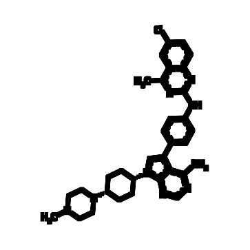 Cc1nc(Nc2ccc(-c3cn([C@H]4CC[C@@H](N5CCN(C)CC5)CC4)c4ncnc(N)c34)cc2)nc2ccc(Cl)cc12